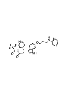 O=C(CC(c1ccncc1)c1c[nH]c2cc(OCCCNc3ccccn3)ccc12)OC(=O)C(F)(F)F